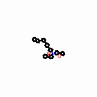 c1cc(-c2ccc(-c3ccc(N(c4ccc5c(c4)oc4ccccc45)c4cccc5c4oc4ccccc45)cc3)cc2)cc(-c2ccc3ccccc3c2)c1